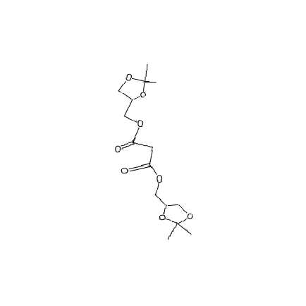 CC1(C)OCC(COC(=O)CC(=O)OCC2COC(C)(C)O2)O1